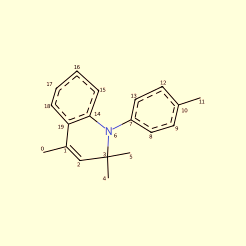 CC1=CC(C)(C)N(c2ccc(C)cc2)c2ccccc21